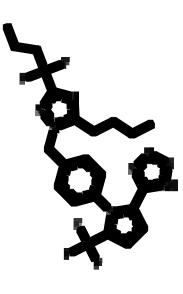 CCCCc1nc(C(F)(F)CCC)nn1Cc1ccc(-n2c(-c3nnn[nH]3)ccc2C(F)(F)F)cc1